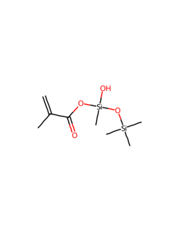 C=C(C)C(=O)O[Si](C)(O)O[Si](C)(C)C